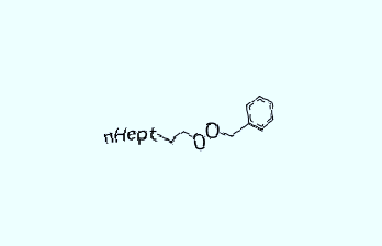 CCCCCCCCCOOCc1ccccc1